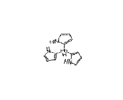 c1c[nH][c]([PbH]([c]2ccc[nH]2)[c]2ccc[nH]2)c1